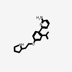 CC(C)c1cc(OCCC2CCCN2)ccc1-c1cccc(N)n1